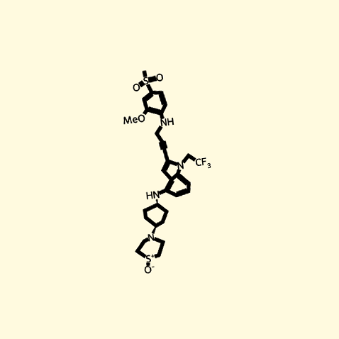 COc1cc(S(C)(=O)=O)ccc1NCC#Cc1cc2c(N[C@H]3CC[C@H](N4CC[S+]([O-])CC4)CC3)cccc2n1CC(F)(F)F